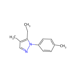 CCc1c(C)cnn1-c1ccc(C)cc1